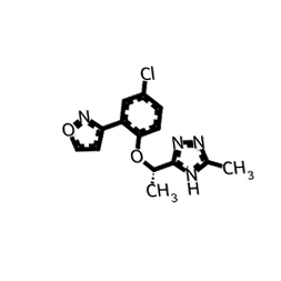 Cc1nnc([C@H](C)Oc2ccc(Cl)cc2-c2ccon2)[nH]1